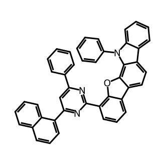 c1ccc(-c2cc(-c3cccc4ccccc34)nc(-c3cccc4c3oc3c4ccc4c5ccccc5n(-c5ccccc5)c43)n2)cc1